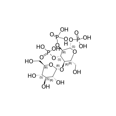 O=P(O)(O)O[C@@H]1O[C@H](CO)[C@@H](O[C@H]2O[C@H](CO)[C@@H](O)[C@H](O)[C@H]2O)[C@H](OP(=O)(O)O)[C@H]1OP(=O)(O)O